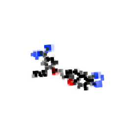 COc1cc(C(=N)N)ccc1OCCCOc1ccc(C(=N)N)cc1OC